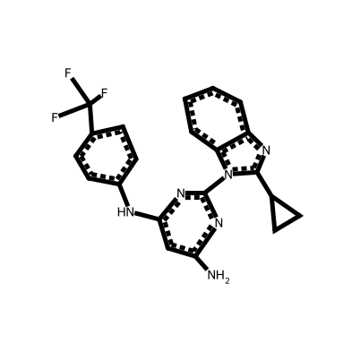 Nc1cc(Nc2ccc(C(F)(F)F)cc2)nc(-n2c(C3CC3)nc3ccccc32)n1